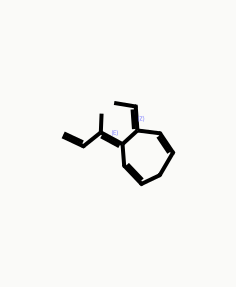 C=C/C(C)=C1\C=CCC=C\C1=C\C